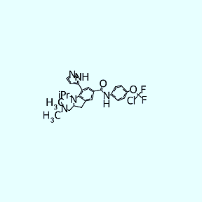 CC(C)N1c2c(cc(C(=O)Nc3ccc(OC(F)(F)Cl)cc3)cc2-c2ccn[nH]2)CC1CN(C)C